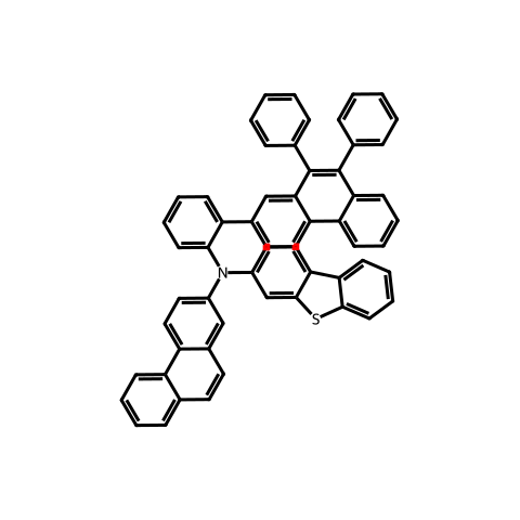 c1ccc(-c2c(-c3ccccc3)c3cc(-c4ccccc4N(c4ccc5c(ccc6ccccc65)c4)c4ccc5c(c4)sc4ccccc45)ccc3c3ccccc23)cc1